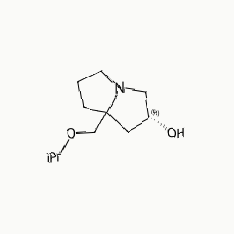 CC(C)OCC12CCCN1C[C@H](O)C2